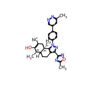 Cc1cc(-c2ccc(-n3nc(-c4noc(C)n4)c4c3[C@]3(C)CC(C#N)=C(O)[C@H](C)[C@H]3CC4)cc2)cnn1